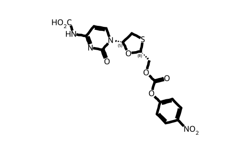 O=C(O)Nc1ccn([C@@H]2CS[C@H](COC(=O)Oc3ccc([N+](=O)[O-])cc3)O2)c(=O)n1